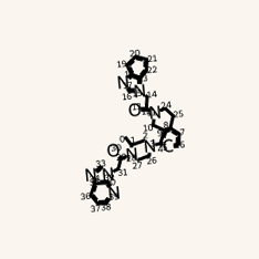 CC1CN(c2cccc3c2CN(C(=O)Cn2cnc4ccccc42)CC3)CCN1C(=O)Cn1cnc2cccnc21